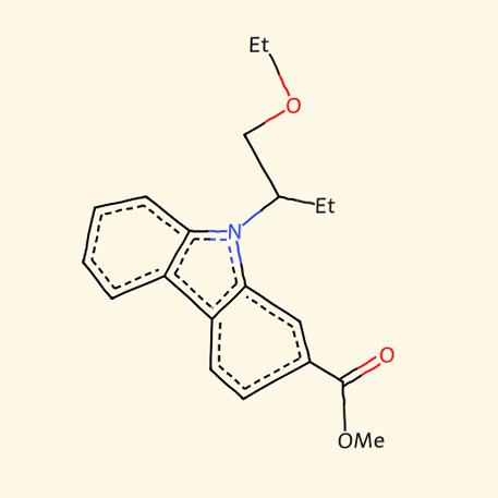 CCOCC(CC)n1c2ccccc2c2ccc(C(=O)OC)cc21